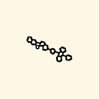 c1ccc(-c2c3ccccc3c(-c3ccc(-c4ccc5c(ccc6c7cc8ccccc8cc7oc56)c4)cc3)c3ccccc23)cc1